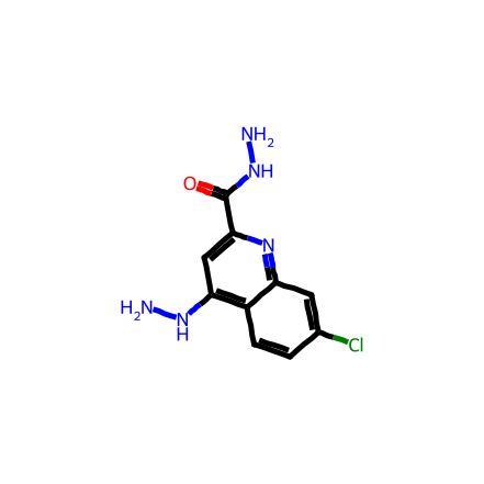 NNC(=O)c1cc(NN)c2ccc(Cl)cc2n1